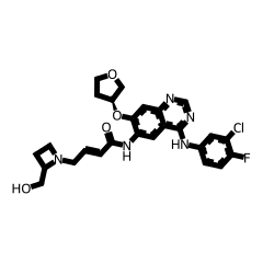 O=C(C=CCN1CCC1CO)Nc1cc2c(Nc3ccc(F)c(Cl)c3)ncnc2cc1O[C@H]1CCOC1